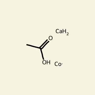 CC(=O)O.[CaH2].[Co]